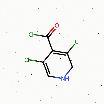 O=C(Cl)C1=C(Cl)CNC=C1Cl